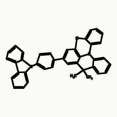 CC1(C)c2ccccc2N2c3ccccc3Oc3cc(-c4ccc(-n5c6ccccc6c6ccccc65)cc4)cc1c32